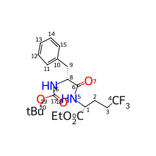 CCOC(=O)[C@@H](CCC(F)(F)F)NC(=O)[C@@H](Cc1ccccc1)NC(=O)OC(C)(C)C